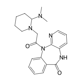 CN(C)C1CCCCN1CC(=O)N1c2ccccc2C(=O)Nc2cccnc21